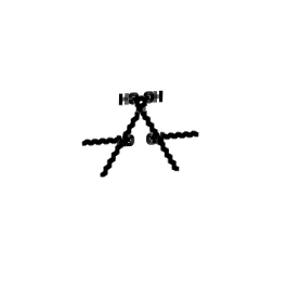 CCCCCCCCCCN(CCCCCCCCCC)C(=O)CCCCCCCN(CCCCCCCC(=O)N(CCCCCCCCCC)CCCCCCCCCC)C1CC(O)CC(O)C1